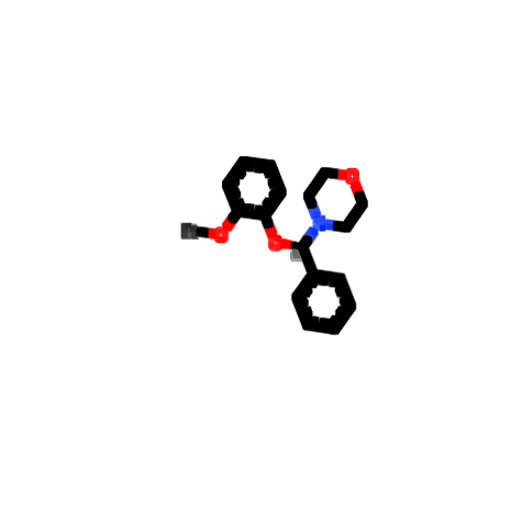 CCOc1ccccc1O[C@H](c1ccccc1)N1CCOCC1